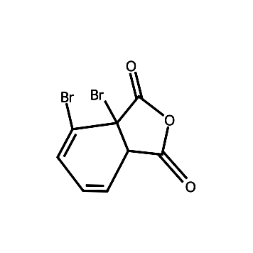 O=C1OC(=O)C2(Br)C(Br)=CC=CC12